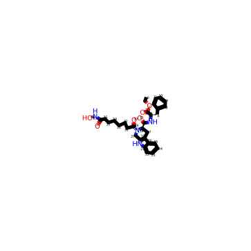 CCOC(=O)[C@H](Cc1ccccc1)NC(=O)[C@H]1Cc2c([nH]c3ccccc23)CN1C(=O)CCCCCCC(=O)NO